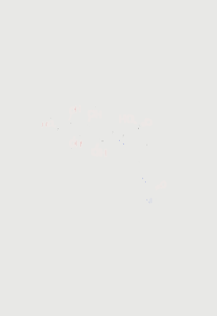 NC(=O)NCCC[C@H](NCC(O)C(O)C(O)C(O)CO)C(=O)O